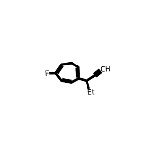 C#CC(CC)C1=CCC=C(F)C=C1